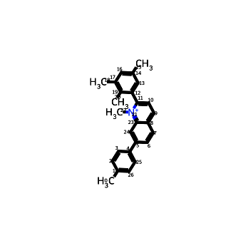 Cc1ccc(-c2ccc3ccc(-c4cc(C)cc(C)c4C)[n+](C)c3c2)cc1